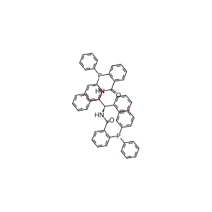 O=C(NC(c1ccccc1)[C@H](NC(=O)c1ccccc1P(c1ccccc1)c1ccccc1)c1ccccc1)c1ccccc1P(c1ccccc1)c1ccccc1